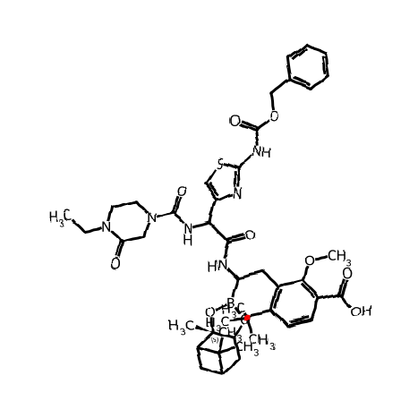 CCN1CCN(C(=O)NC(C(=O)NC(Cc2c(C(C)(C)C)ccc(C(=O)O)c2OC)B2OC3CC4CC(C4(C)C)[C@]3(C)O2)c2csc(NC(=O)OCc3ccccc3)n2)CC1=O